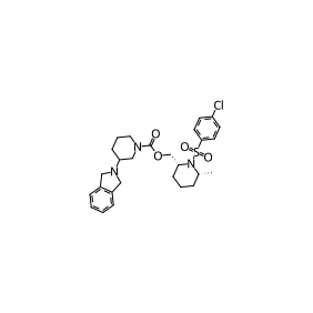 C[C@@H]1CCC[C@H](COC(=O)N2CCCC(N3Cc4ccccc4C3)C2)N1S(=O)(=O)c1ccc(Cl)cc1